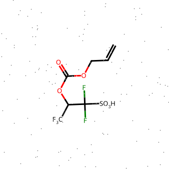 C=CCOC(=O)OC(C(F)(F)F)C(F)(F)S(=O)(=O)O